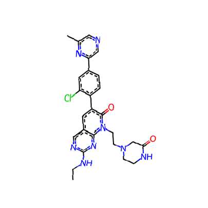 CCNc1ncc2cc(-c3ccc(-c4cncc(C)n4)cc3Cl)c(=O)n(CCN3CCNC(=O)C3)c2n1